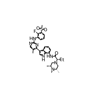 CC[C@H](C(=O)Nc1cccc2c(-c3nc(Nc4cccc(S(C)(=O)=O)c4F)ncc3C)c[nH]c12)N1C[C@H](C)N(C)[C@@H](C)C1